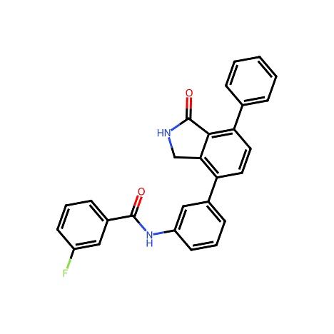 O=C(Nc1cccc(-c2ccc(-c3ccccc3)c3c2CNC3=O)c1)c1cccc(F)c1